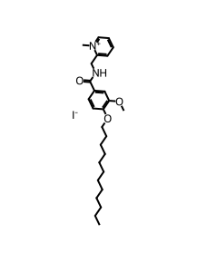 CCCCCCCCCCCCOc1ccc(C(=O)NCc2cccc[n+]2C)cc1OC.[I-]